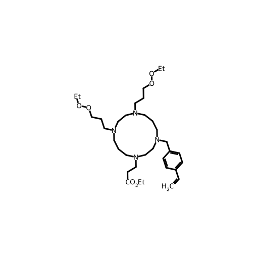 C=Cc1ccc(CN2CCCN(CCCOOCC)CCN(CCCOOCC)CCCN(CCC(=O)OCC)CC2)cc1